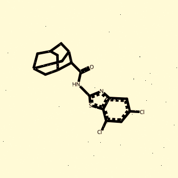 O=C(Nc1nc2cc(Cl)cc(Cl)c2s1)C1C2CC3CC(C2)CC1C3